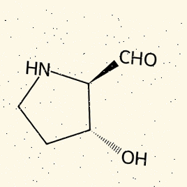 O=C[C@@H]1NCC[C@H]1O